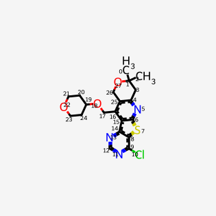 CC1(C)Cc2nc3sc4c(Cl)ncnc4c3c(COC3CCOCC3)c2CO1